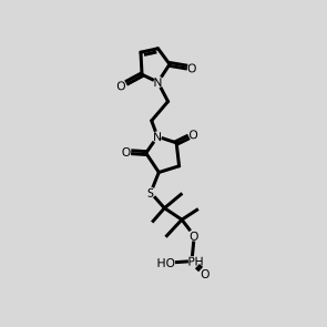 CC(C)(O[PH](=O)O)C(C)(C)SC1CC(=O)N(CCN2C(=O)C=CC2=O)C1=O